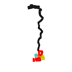 CCCCCCCCCCCCCCCCCCCCCCOP(O)(F)=S